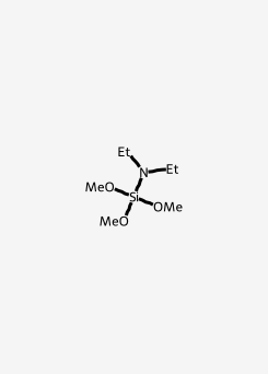 CCN(CC)[Si](OC)(OC)OC